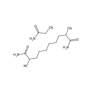 N#CC(CCCCCCC(C#N)C(N)=O)C(N)=O.N#CCC(N)=O